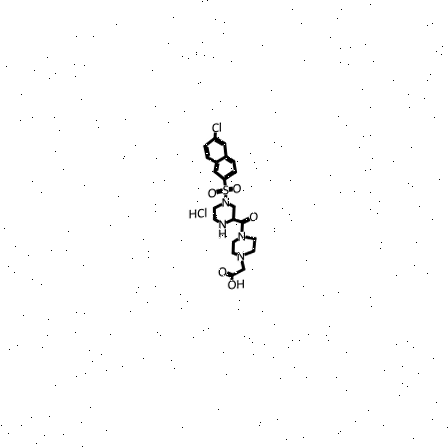 Cl.O=C(O)CN1CCN(C(=O)C2CN(S(=O)(=O)c3ccc4cc(Cl)ccc4c3)CCN2)CC1